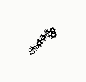 COC(=O)C(C)(C)COc1ccc(-c2ccc(-c3ncc(-c4ccccc4)n3Cc3ccccc3)cn2)cc1